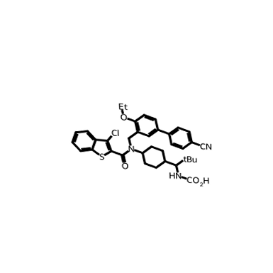 CCOc1ccc(-c2ccc(C#N)cc2)cc1CN(C(=O)c1sc2ccccc2c1Cl)C1CCC(C(NC(=O)O)C(C)(C)C)CC1